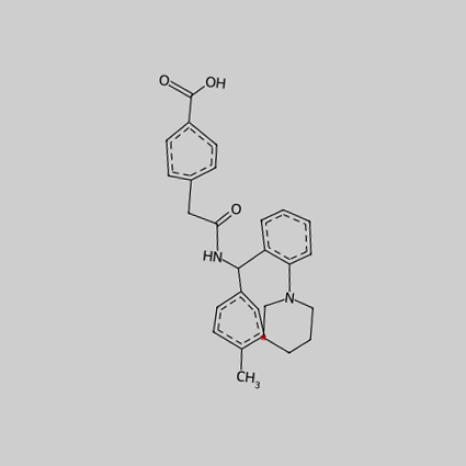 Cc1ccc(C(NC(=O)Cc2ccc(C(=O)O)cc2)c2ccccc2N2CCCCC2)cc1